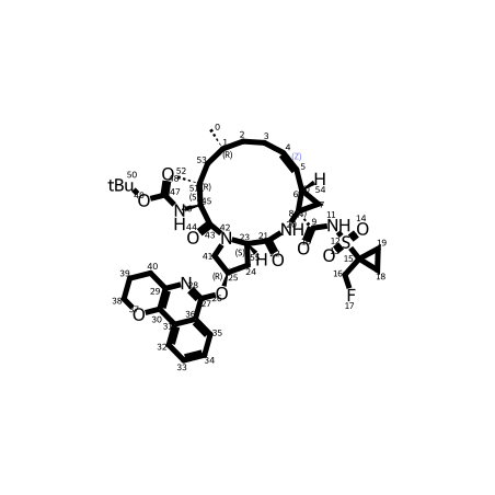 C[C@@H]1CC/C=C\[C@@H]2C[C@@]2(C(=O)NS(=O)(=O)C2(CF)CC2)NC(=O)[C@@H]2C[C@@H](Oc3nc4c(c5ccccc35)OCCC4)CN2C(=O)[C@@H](NC(=O)OC(C)(C)C)[C@H](C)C1